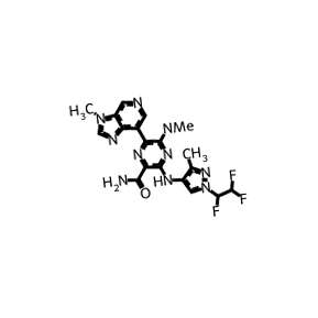 CNc1nc(Nc2cn(C(F)C(F)F)nc2C)c(C(N)=O)nc1-c1cncc2c1ncn2C